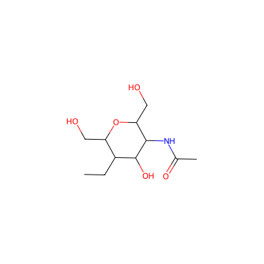 CCC1C(CO)OC(CO)C(NC(C)=O)C1O